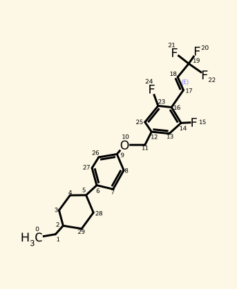 CCC1CCC(c2ccc(OCc3cc(F)c(/C=C/C(F)(F)F)c(F)c3)cc2)CC1